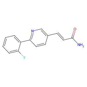 NC(=O)C=Cc1ccc(-c2ccccc2F)nc1